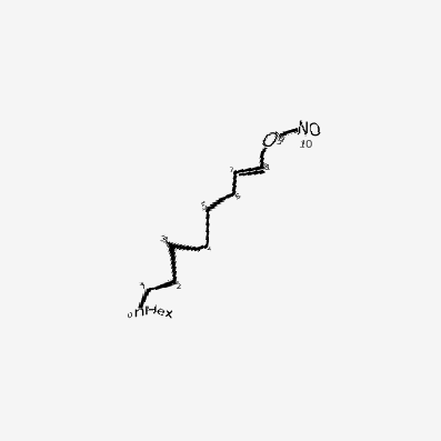 CCCCCCCCCCCCC=CON=O